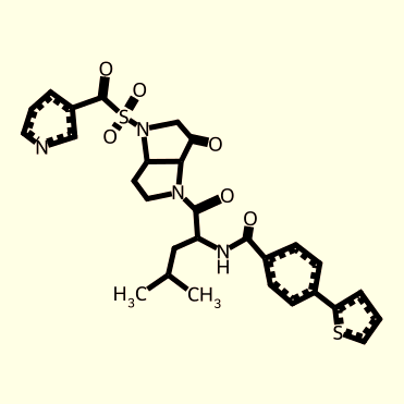 CC(C)CC(NC(=O)c1ccc(-c2cccs2)cc1)C(=O)N1CCC2C1C(=O)CN2S(=O)(=O)C(=O)c1cccnc1